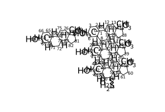 C[C@]12CC[C@H](O)C[C@@H]1CC[C@@H]1[C@@H]2CC[C@]2(C)C(=O)CC[C@@H]12.C[C@]12CC[C@H](O)C[C@@H]1CC[C@@H]1[C@@H]2CC[C@]2(C)C(=O)CC[C@@H]12.C[C@]12CC[C@H](O)C[C@@H]1CC[C@@H]1[C@@H]2CC[C@]2(C)C(=O)CC[C@@H]12.C[C@]12CC[C@H](O)C[C@@H]1CC[C@@H]1[C@@H]2CC[C@]2(C)C(=O)CC[C@@H]12.S.S